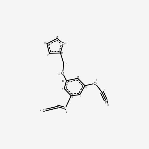 N#COc1cc(N=C=O)cc(OCc2ccco2)c1